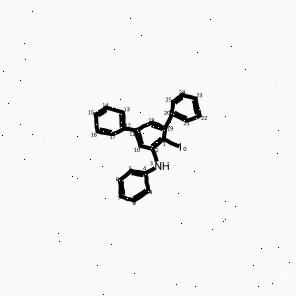 Ic1c(Nc2ccccc2)cc(-c2ccccc2)cc1-c1ccccc1